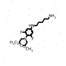 C[C@@H]1CN(c2c(F)cc(NCCCCCN)cc2F)C[C@H](C)O1